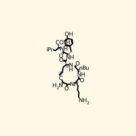 CCCC[C@@H]1NC(=O)[C@H](CCCCN)NC(=O)[C@@H](N)C/C=C/C[C@@H](C(=O)N[C@@H](Cc2ccc(O)cc2)C(=O)N[C@@H](CC(C)C)C(=O)O)NC1=O